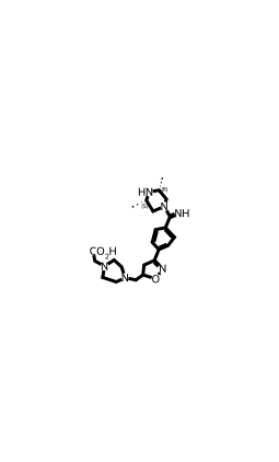 C[C@@H]1CN(C(=N)c2ccc(C3=NOC(CN4CCN(CC(=O)O)CC4)C3)cc2)C[C@H](C)N1